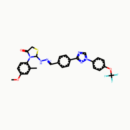 COc1ccc(N2C(=O)CSC2N/N=C/c2ccc(-c3ncn(-c4ccc(OC(F)(F)F)cc4)n3)cc2)c(C)c1